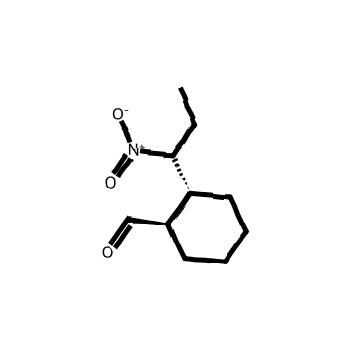 CCC([C@@H]1CCCC[C@H]1C=O)[N+](=O)[O-]